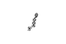 COC(=O)CCCCC(=O)c1ccc(-c2ccc(CCN3CCOCC3)cc2)cc1